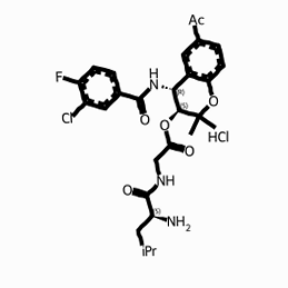 CC(=O)c1ccc2c(c1)[C@@H](NC(=O)c1ccc(F)c(Cl)c1)[C@H](OC(=O)CNC(=O)[C@@H](N)CC(C)C)C(C)(C)O2.Cl